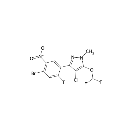 Cn1nc(-c2cc([N+](=O)[O-])c(Br)cc2F)c(Cl)c1OC(F)F